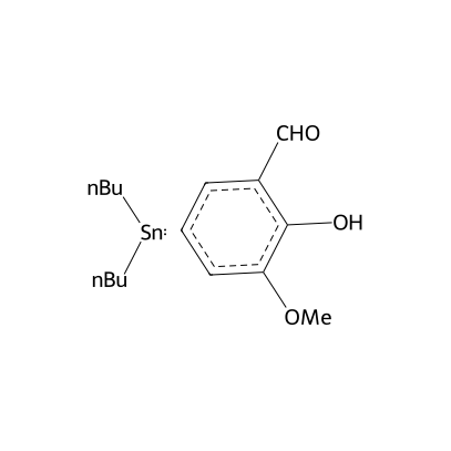 CCC[CH2][Sn][CH2]CCC.COc1cccc(C=O)c1O